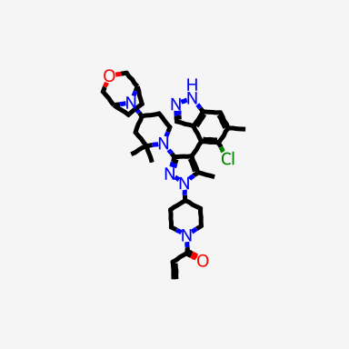 C=CC(=O)N1CCC(n2nc(N3CCC(N4C5CCC4COC5)CC3(C)C)c(-c3c(Cl)c(C)cc4[nH]ncc34)c2C)CC1